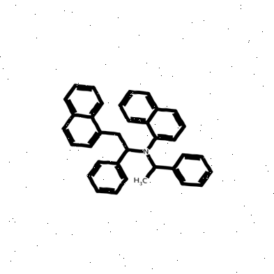 CC(c1ccccc1)N(c1cccc2ccccc12)C(Cc1cccc2ccccc12)c1ccccc1